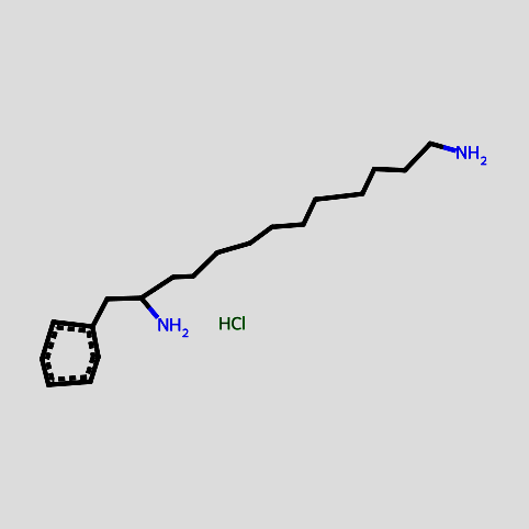 Cl.NCCCCCCCCCCCC(N)Cc1ccccc1